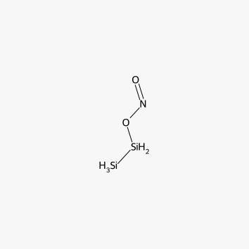 O=NO[SiH2][SiH3]